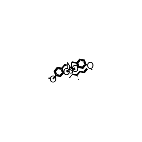 C=CC[C@H](C)[C@@H](C)S(=O)(=O)N(Cc1ccc(OC)cc1)Cc1ccc(OC)cc1